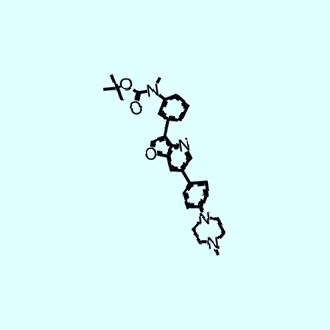 CN1CCN(c2ccc(-c3cnc4c(-c5cccc(N(C)C(=O)OC(C)(C)C)c5)coc4c3)cc2)CC1